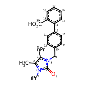 CCCc1c(C)n(C(C)C)c(=O)n1Cc1ccc(-c2ccccc2C(=O)O)cc1